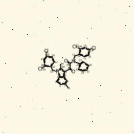 Cc1ccc2c(c1)c(C(=O)C(=O)N(Cc1ccc(Cl)cc1Cl)c1ccccc1)c(C)n2Cc1ccc(Cl)cc1Cl